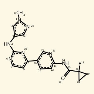 Cn1cc(Nc2nccc(-c3ccc(NC(=O)C4(F)CC4)nc3)n2)cn1